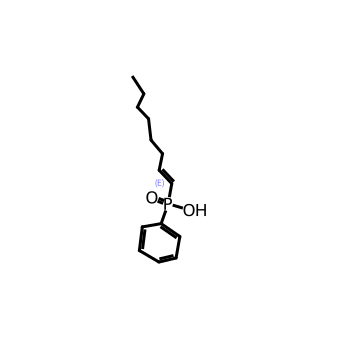 CCCCCC/C=C/P(=O)(O)c1ccccc1